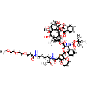 COCCOCCOCCC(=O)NCCCCC(NC(=O)c1sc(C(=O)O[C@H](C(=O)OC2C[C@]3(O)[C@H](OC(=O)c4ccccc4)[C@H]4[C@@]5(OC(C)=O)CO[C@H]5C[C@@H](O)[C@]4(C)C(=O)[C@@H](O)[C@@H](C2C)C3(C)C)[C@H](NC(=O)OC(C)(C)C)c2ccccc2)c2c1OCCCO2)C(C)=O